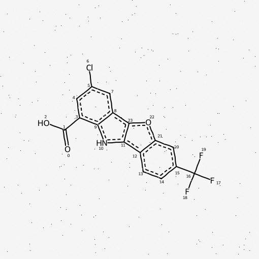 O=C(O)c1cc(Cl)cc2c1[nH]c1c3ccc(C(F)(F)F)cc3oc21